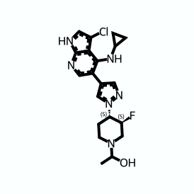 CC(O)N1CC[C@H](n2cc(-c3cnc4[nH]cc(Cl)c4c3NC3CC3)cn2)[C@@H](F)C1